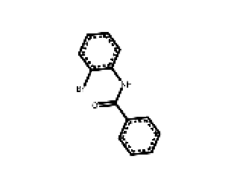 O=C(Nc1ccccc1Br)c1ccccc1